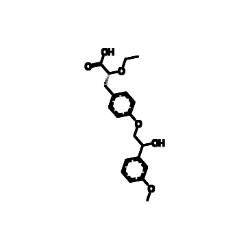 CCO[C@H](Cc1ccc(OCC(O)c2cccc(OC)c2)cc1)C(=O)O